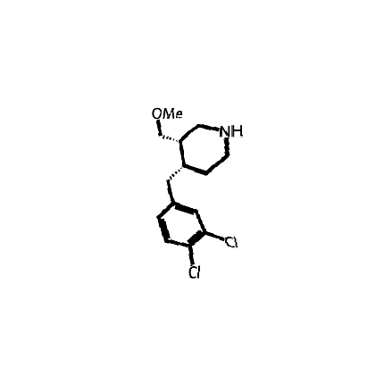 COC[C@@H]1CNCC[C@@H]1Cc1ccc(Cl)c(Cl)c1